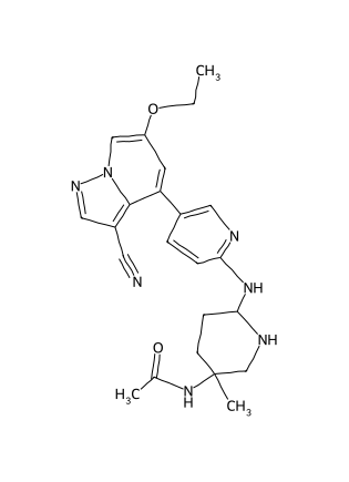 CCOc1cc(-c2ccc(NC3CCC(C)(NC(C)=O)CN3)nc2)c2c(C#N)cnn2c1